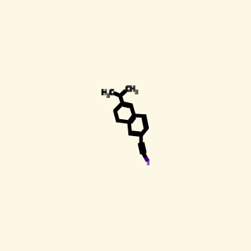 CC(C)C1=Cc2ccc(C#CI)cc2CC1